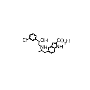 CC(Cc1ccc2[nH]c(C(=O)O)cc2c1)NCC(O)c1cccc(Cl)c1